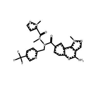 CN(C(=O)c1ccnn1C)N(Cc1ccc(C(F)(F)F)cn1)C(=O)c1ccc2nc(N)c3cnn(C)c3c2c1